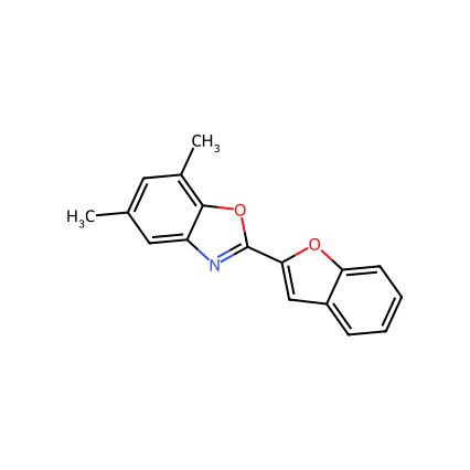 Cc1cc(C)c2oc(-c3cc4ccccc4o3)nc2c1